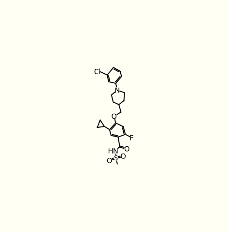 CS(=O)(=O)NC(=O)c1cc(C2CC2)c(OCC2CCN(c3cccc(Cl)c3)CC2)cc1F